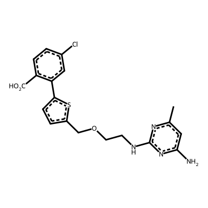 Cc1cc(N)nc(NCCOCc2ccc(-c3cc(Cl)ccc3C(=O)O)s2)n1